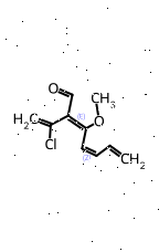 C=C/C=C\C(OC)=C(\C=O)C(=C)Cl